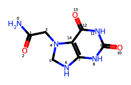 NC(=O)CN1CNc2[nH]c(=O)[nH]c(=O)c21